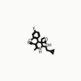 CCC1(C(=O)O)C(CCC2CC2)NC(C)=C(C#N)C1c1ccc(F)cc1Cl